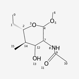 CC[C@@H]1OC(OC)C(NC(C)=O)C(O)[C@H]1C